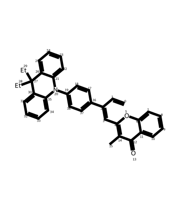 C=C/C(=C\c1oc2ccccc2c(=O)c1C)c1ccc(N2c3ccccc3C(CC)(CC)c3ccccc32)cc1